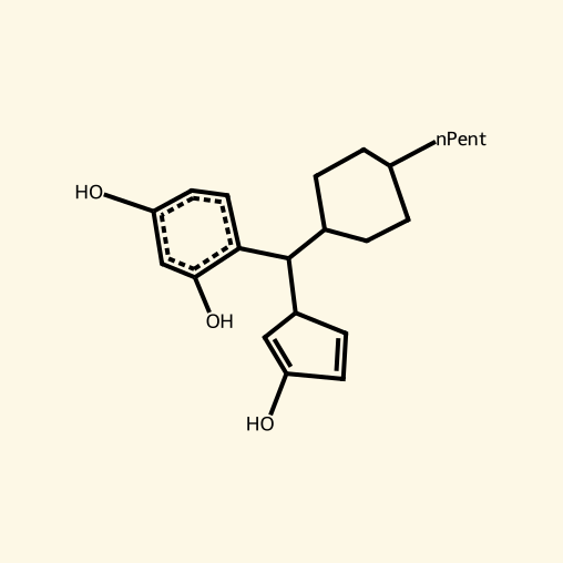 CCCCCC1CCC(C(c2ccc(O)cc2O)C2C=CC(O)=C2)CC1